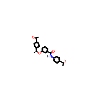 CC(=O)c1ccc(NC(=O)c2cccc(O[C@@H](C)c3ccc(C(C)=O)cc3)c2)cc1